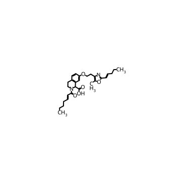 CCC/C=C/c1nc(CCOc2ccc3c(c2)C(C(=O)O)N(C(=O)C=CCCCC)CC3)c(C)o1